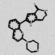 O=C1NCCc2[nH]c(-c3cccc4ccc(N5CCOCC5)nc34)cc21